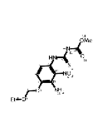 CCOCOc1ccc(NC(=S)NC(=O)OC)c([N+](=O)[O-])c1N